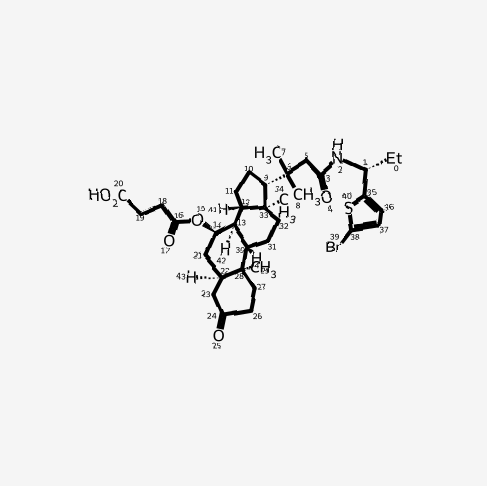 CC[C@@H](NC(=O)CC(C)(C)[C@H]1CC[C@H]2[C@@H]3[C@H](OC(=O)CCC(=O)O)C[C@@H]4CC(=O)CC[C@]4(C)[C@H]3CC[C@]12C)c1ccc(Br)s1